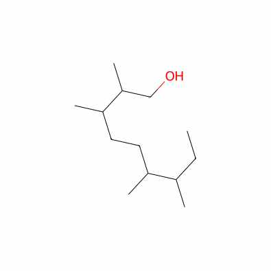 CCC(C)C(C)CCC(C)C(C)CO